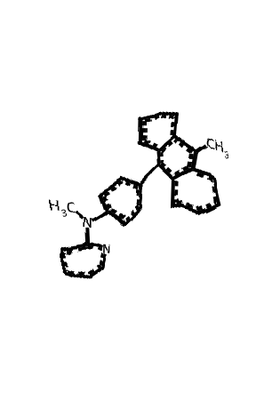 Cc1c2ccccc2c(-c2ccc(N(C)c3ccccn3)cc2)c2ccccc12